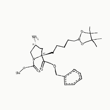 CC(C)(C)OC(=O)N1C[C@H](N)C[C@]1(CCCCB1OC(C)(C)C(C)(C)O1)C(=O)OCc1ccccc1